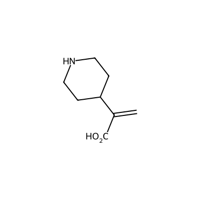 C=C(C(=O)O)C1CCNCC1